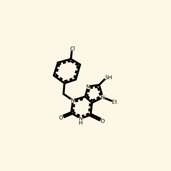 CCn1c(S)nc2c1c(=O)[nH]c(=O)n2Cc1ccc(Cl)cc1